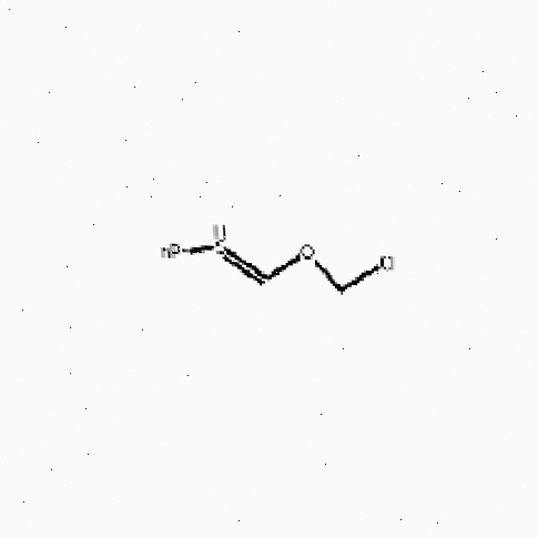 CCC[SH]=COCCl